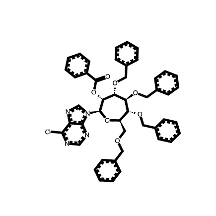 O=C(O[C@@H]1[C@H](OCc2ccccc2)[C@@H](OCc2ccccc2)[C@H](OCc2ccccc2)[C@@H](COCc2ccccc2)O[C@H]1n1cnc2c(Cl)ncnc21)c1ccccc1